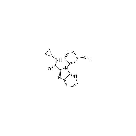 Cc1cc(-n2c(C(=O)NC3CC3)nc3cccnc32)ccn1